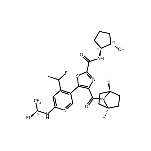 CC[C@H](Nc1cc(C(F)F)c(-c2sc(C(=O)N[C@H]3CCC[C@@H]3O)nc2C(=O)N2[C@H]3CC[C@H]2CC3)cn1)C(F)(F)F